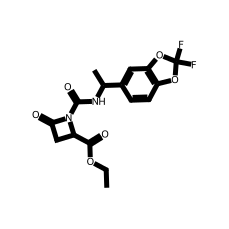 CCOC(=O)C1CC(=O)N1C(=O)NC(C)c1ccc2c(c1)OC(F)(F)O2